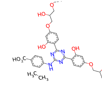 CC.CCCOCC(O)COc1ccc(-c2nc(Nc3ccc(C(=O)O)cc3)nc(-c3ccc(OCC(O)COCCC)cc3O)n2)c(O)c1